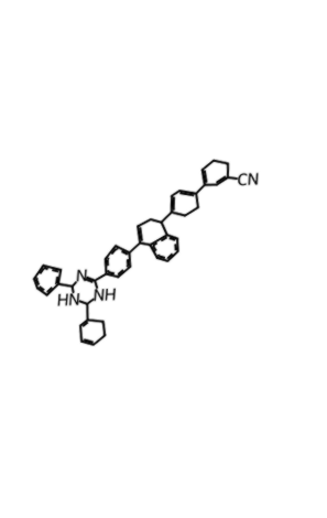 N#CC1=CC(C2=CC=C(C3CC=C(c4ccc(C5=NC(c6ccccc6)NC(C6=CC=CCC6)N5)cc4)c4ccccc43)CC2)=CCC1